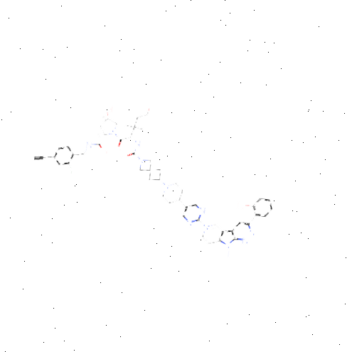 C#Cc1ccc(CNC(=O)[C@@H]2C[C@@H](O)CN2C(=O)[C@@H](NC(=O)N2CC3(CC(N4CCC(c5cnc(N6CCc7[nH]c8nnc(-c9ccccc9O)cc8c7[C@H]6C)nc5)CC4)C3)C2)C(C)(C)CCO)c(Cl)c1